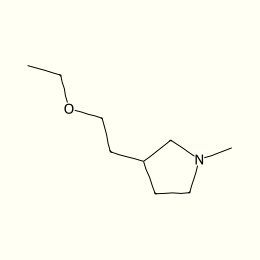 CCOCCC1CCN(C)C1